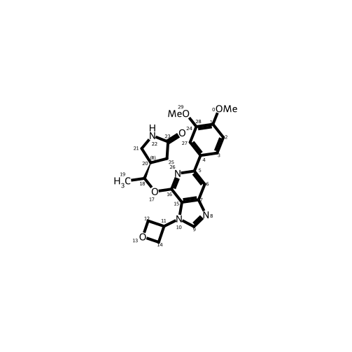 COc1ccc(-c2cc3ncn(C4COC4)c3c(OC(C)[C@H]3CNC(=O)C3)n2)cc1OC